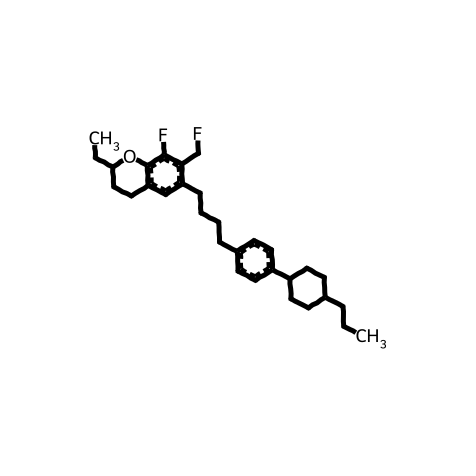 CCCC1CCC(c2ccc(CCCCc3cc4c(c(F)c3CF)OC(CC)CC4)cc2)CC1